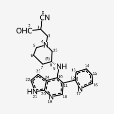 N#CC(C=O)CN1CCC[C@@H](Nc2c(-c3ccccn3)cnc3[nH]ccc23)C1